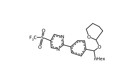 CCCCCCC(OC1CCCCO1)c1ccc(-c2ncc(S(=O)(=O)C(F)(F)F)cn2)cc1